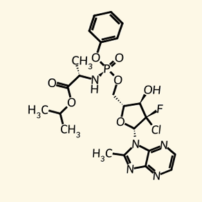 Cc1nc2nccnc2n1[C@@H]1O[C@H](CO[P@](=O)(N[C@@H](C)C(=O)OC(C)C)Oc2ccccc2)[C@@H](O)[C@]1(F)Cl